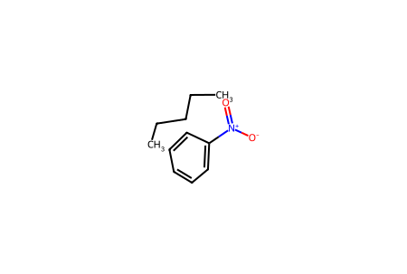 CCCCC.O=[N+]([O-])c1ccccc1